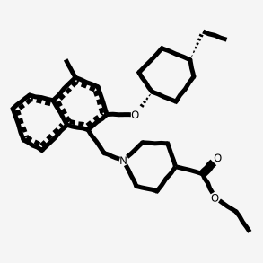 CCOC(=O)C1CCN(Cc2c(O[C@H]3CC[C@@H](CC)CC3)cc(C)c3ccccc23)CC1